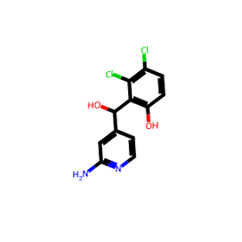 Nc1cc(C(O)c2c(O)ccc(Cl)c2Cl)ccn1